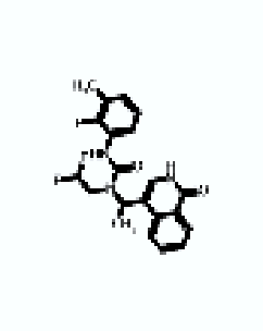 Cc1cccc(NC(=O)N(CC(F)F)C(C)c2c[nH]c(=O)c3ccccc23)c1F